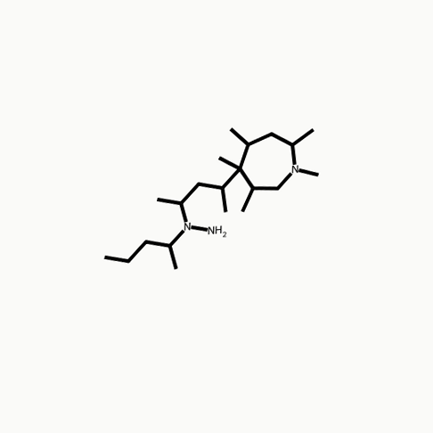 CCCC(C)N(N)C(C)CC(C)C1(C)C(C)CC(C)N(C)CC1C